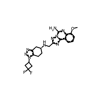 COc1cccc2c1nc(N)n1nc(CN[C@H]3CCc4c(nnn4C4CC(F)(F)C4)C3)nc21